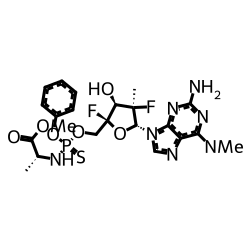 CNc1nc(N)nc2c1ncn2[C@@H]1O[C@](F)(COP(=S)(N[C@H](C)C(=O)OC)Oc2ccccc2)[C@@H](O)[C@@]1(C)F